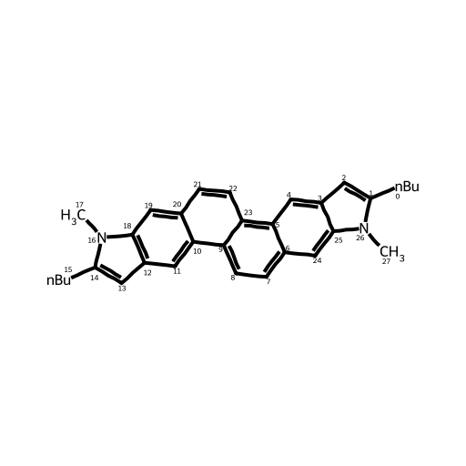 CCCCc1cc2cc3c(ccc4c5cc6cc(CCCC)n(C)c6cc5ccc34)cc2n1C